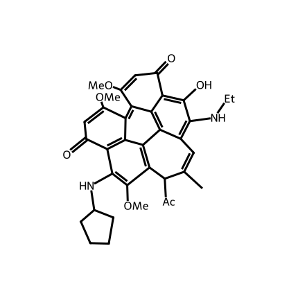 CCNc1c(O)c2c(=O)cc(OC)c3c4c(OC)cc(=O)c5c(NC6CCCC6)c(OC)c6c(c(c1C=C(C)C6C(C)=O)c23)c54